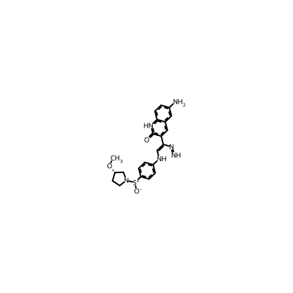 CO[C@H]1CCN([S+]([O-])c2ccc(N/C=C(\N=N)c3cc4cc(N)ccc4[nH]c3=O)cc2)C1